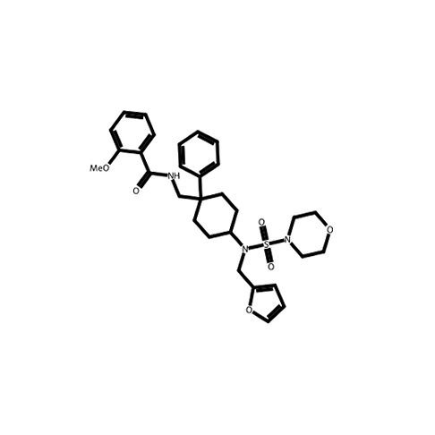 COc1ccccc1C(=O)NCC1(c2ccccc2)CCC(N(Cc2ccco2)S(=O)(=O)N2CCOCC2)CC1